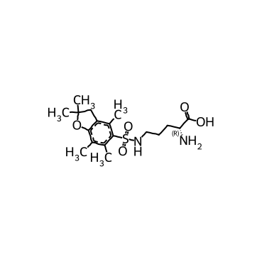 Cc1c(C)c(S(=O)(=O)NCCC[C@@H](N)C(=O)O)c(C)c2c1OC(C)(C)C2